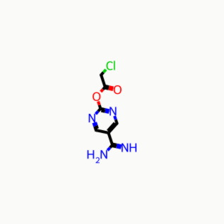 N=C(N)c1cnc(OC(=O)CCl)nc1